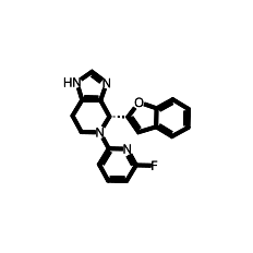 Fc1cccc(N2CCc3[nH]cnc3[C@@H]2c2cc3ccccc3o2)n1